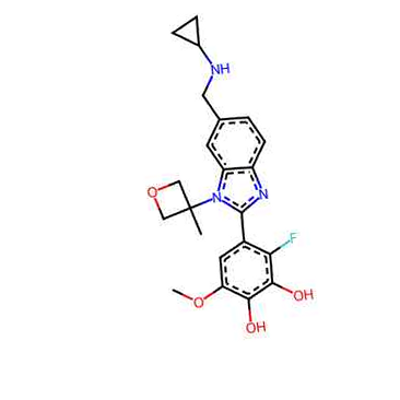 COc1cc(-c2nc3ccc(CNC4CC4)cc3n2C2(C)COC2)c(F)c(O)c1O